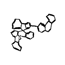 c1ccc2c(c1)B1c3ccccc3C3(c4ccccc4-c4ccc(-c5ccc6ccc7ccccc7c6c5)cc43)c3cccc-2c31